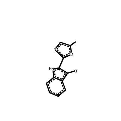 Cc1cnc(-c2[nH]c3ccccc3c2Cl)o1